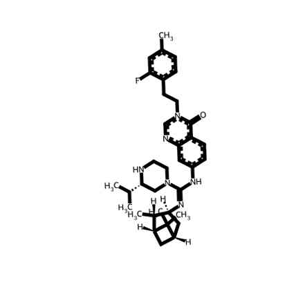 Cc1ccc(CCn2cnc3cc(N/C(=N/[C@H]4C[C@@H]5C[C@H]([C@@H]4C)C5(C)C)N4CCN[C@@H](C(C)C)C4)ccc3c2=O)c(F)c1